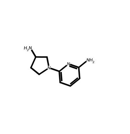 Nc1cccc(N2CCC(N)C2)n1